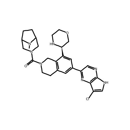 CN1C2CCC1CN(C(=O)N1CCc3cc(-c4cnc5[nH]cc(Cl)c5n4)cc([C@@H]4COCCN4)c3C1)C2